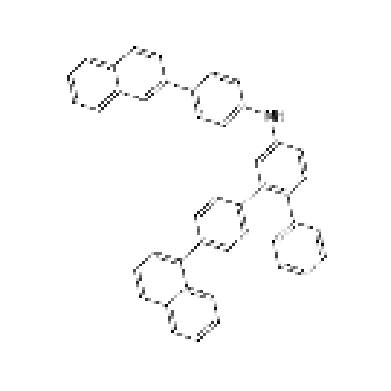 c1ccc(-c2ccc(Nc3ccc(-c4ccc5ccccc5c4)cc3)cc2-c2ccc(-c3cccc4ccccc34)cc2)cc1